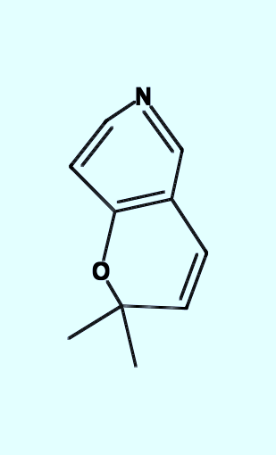 CC1(C)C=Cc2cnccc2O1